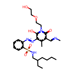 CCCCC(CC)CNS(=O)(=O)c1ccccc1/N=N/c1c(C)c(C=NC)c(=O)n(CCOCCO)c1O